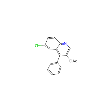 CC(=O)Oc1cnc2ccc(Cl)cc2c1-c1ccccc1